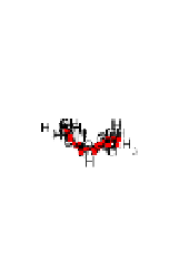 Cc1c[nH]c2c(O)cc3c(c12)[C@H](CCl)CN3C(=O)c1cc2cc(NC(=O)c3occ4cc(CCC(=O)NNC(=O)OC(C)(C)C)ccc34)ccc2[nH]1